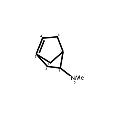 CNC1CC2=CCC1C2